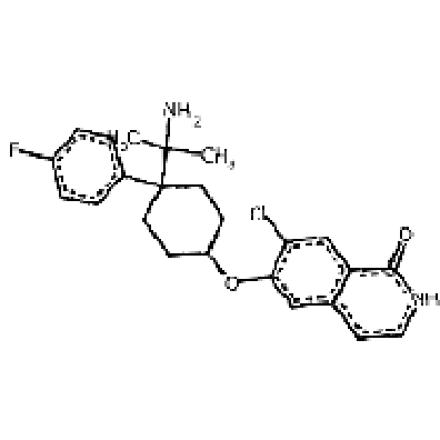 CC(C)(N)[C@]1(c2ccc(F)cc2)CC[C@H](Oc2cc3cc[nH]c(=O)c3cc2Cl)CC1